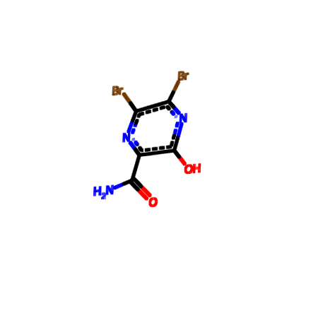 NC(=O)c1nc(Br)c(Br)nc1O